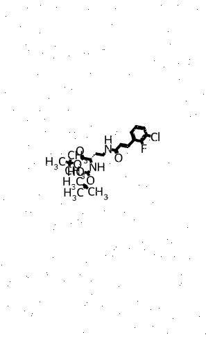 CC(C)(C)OC(=O)[C@H](CCNC(=O)/C=C/c1cccc(Cl)c1F)NC(O)OC(C)(C)C